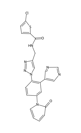 O=C(NCc1cn(-c2ccc(-n3ccccc3=O)cc2-c2cncnc2)nn1)c1ccc(Cl)s1